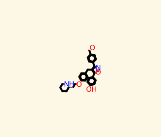 O=Cc1ccc(-c2noc(-c3ccc(O)cc3)c2Cc2ccc(OCC[C@@H]3CCCCN3)cc2)cc1